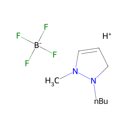 CCCCN1CC=CN1C.F[B-](F)(F)F.[H+]